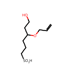 C=CCOC(CCO)CCCS(=O)(=O)O